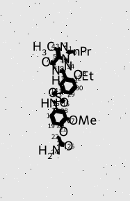 CCCc1nc(C)c2c(=O)[nH]c(-c3cc(S(=O)(=O)Nc4ccc(OCC(N)=O)c(OC)c4)ccc3OCC)nn12